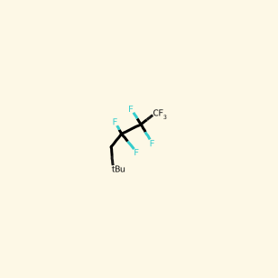 CC(C)(C)CC(F)(F)C(F)(F)C(F)(F)F